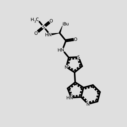 CC[C@H](C)[C@H](NS(C)(=O)=O)C(=O)Nc1nc(-c2c[nH]c3ncccc23)cs1